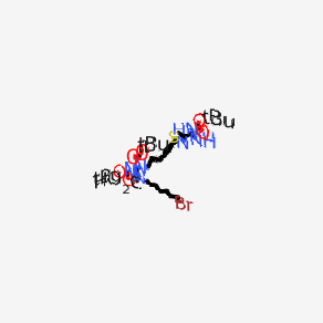 CC(C)(C)OC(=O)/N=C(\N(CCCCCCCBr)C(=O)O)N(CCCC#Cc1nc(C(=N)NC(=O)OC(C)(C)C)cs1)C(=O)OC(C)(C)C